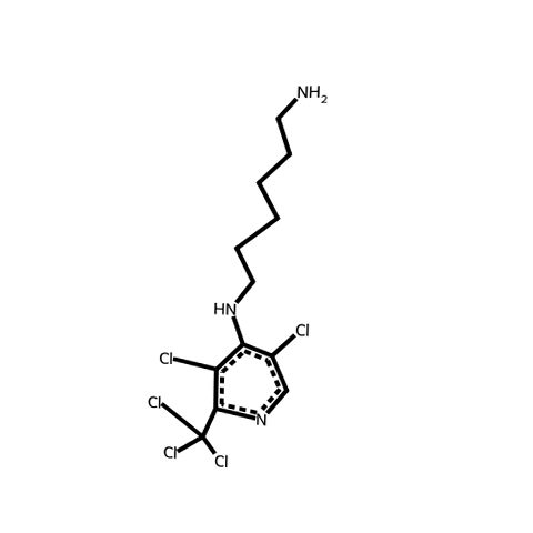 NCCCCCCNc1c(Cl)cnc(C(Cl)(Cl)Cl)c1Cl